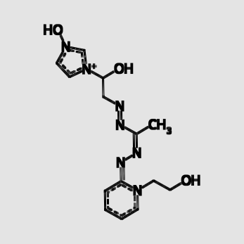 CC(N=NCC(O)[n+]1ccn(O)c1)=NN=c1ccccn1CCO